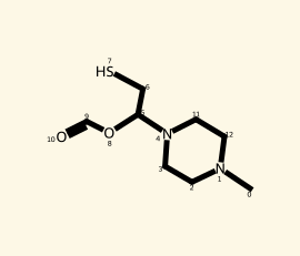 CN1CCN(C(CS)OC=O)CC1